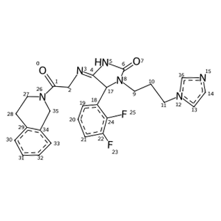 O=C(CN=C1NC(=O)N(CCCn2ccnc2)C1c1cccc(F)c1F)N1CCc2ccccc2C1